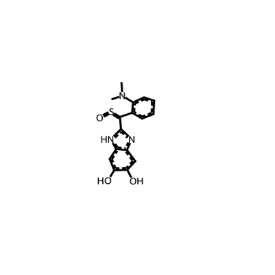 CN(C)c1ccccc1C(=S=O)c1nc2cc(O)c(O)cc2[nH]1